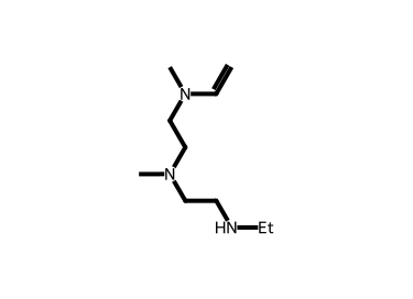 C=CN(C)CCN(C)CCNCC